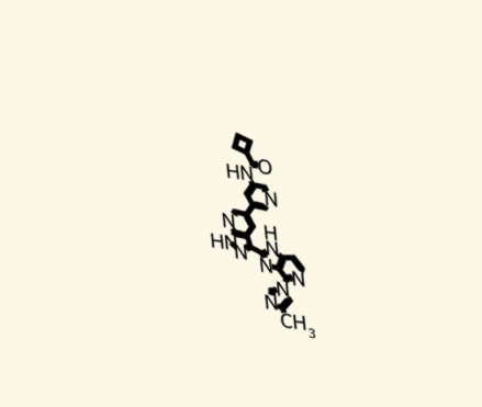 Cc1cn(-c2nccc3[nH]c(-c4n[nH]c5ncc(-c6cncc(NC(=O)C7CCC7)c6)cc45)nc23)cn1